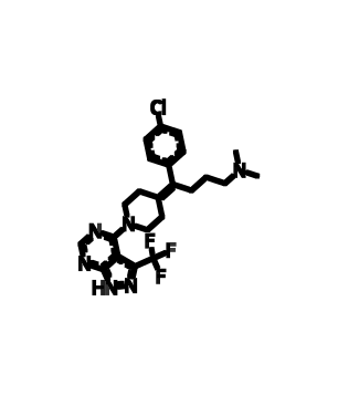 CN(C)CCCC(=C1CCN(c2ncnc3[nH]nc(C(F)(F)F)c23)CC1)c1ccc(Cl)cc1